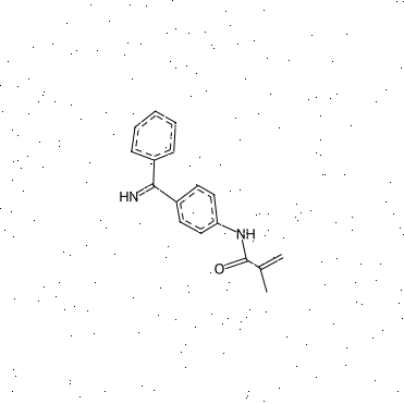 C=C(C)C(=O)Nc1ccc(C(=N)c2ccccc2)cc1